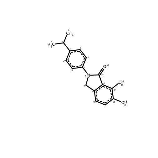 CC(C)c1ccc(N2Cc3ccc(O)c(O)c3C2=O)cc1